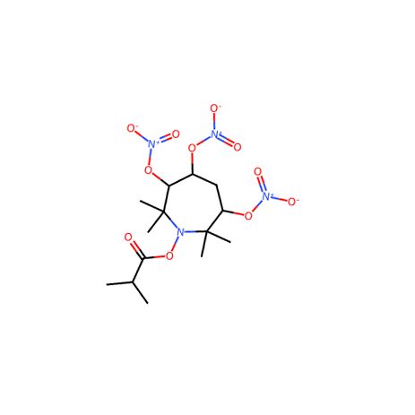 CC(C)C(=O)ON1C(C)(C)C(O[N+](=O)[O-])CC(O[N+](=O)[O-])C(O[N+](=O)[O-])C1(C)C